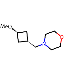 CO[C@H]1C[C@H](CN2CCOCC2)C1